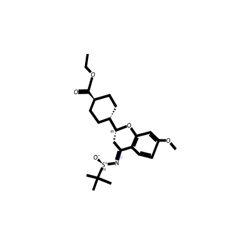 CCOC(=O)[C@H]1CC[C@H]([C@H]2C/C(=N\[S@+]([O-])C(C)(C)C)c3ccc(OC)cc3O2)CC1